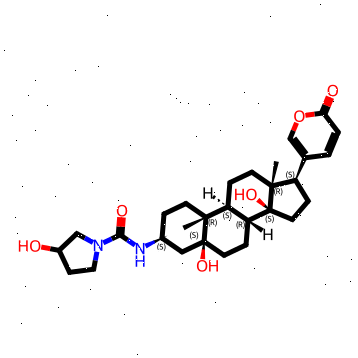 C[C@]12CC[C@H](NC(=O)N3CCC(O)C3)C[C@@]1(O)CC[C@@H]1[C@@H]2CC[C@]2(C)[C@@H](c3ccc(=O)oc3)CC[C@]12O